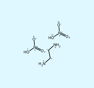 NCCN.O=[N+]([O-])O.O=[N+]([O-])O